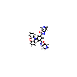 c1ccc2c(c1)Oc1ccccc1N2c1cc(-c2nc3ccncc3o2)cc(-c2nc3ccncc3o2)c1